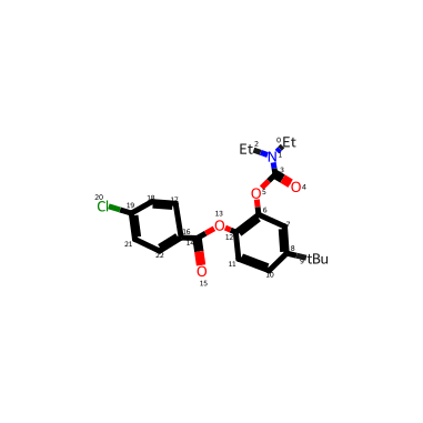 CCN(CC)C(=O)Oc1cc(C(C)(C)C)ccc1OC(=O)c1ccc(Cl)cc1